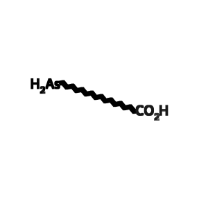 O=C(O)CCCCCCCCCCCCCCCC[AsH2]